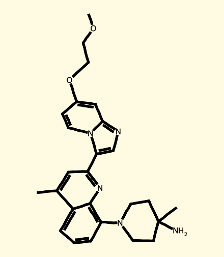 COCCOc1ccn2c(-c3cc(C)c4cccc(N5CCC(C)(N)CC5)c4n3)cnc2c1